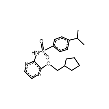 CC(C)c1ccc(S(=O)(=O)Nc2nccnc2OCC2CCCC2)cc1